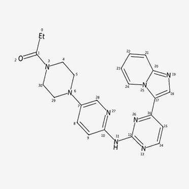 CCC(=O)N1CCN(c2ccc(Nc3nccc(-c4cnc5ccccn45)n3)nc2)CC1